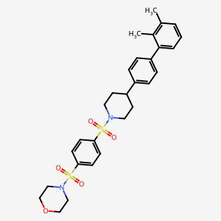 Cc1cccc(-c2ccc(C3CCN(S(=O)(=O)c4ccc(S(=O)(=O)N5CCOCC5)cc4)CC3)cc2)c1C